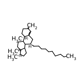 C=C1C=C2C[C@@H](CCCCCCCCCC)C3C(CC[C@@]4(C)C3CC[C@@H]4C)[C@@]2(C)CC1